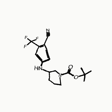 CC(C)(C)OC(=O)N1CCCC(Nc2ccc(C#N)c(C(F)(F)F)c2)C1